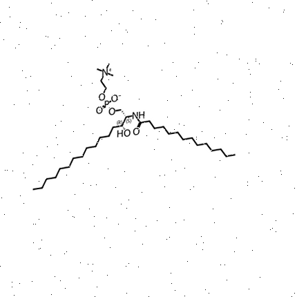 CCCCCCCCCCCCCC(=O)N[C@@H](COP(=O)([O-])OCC[N+](C)(C)C)[C@H](O)CCCCCCCCCCCCC